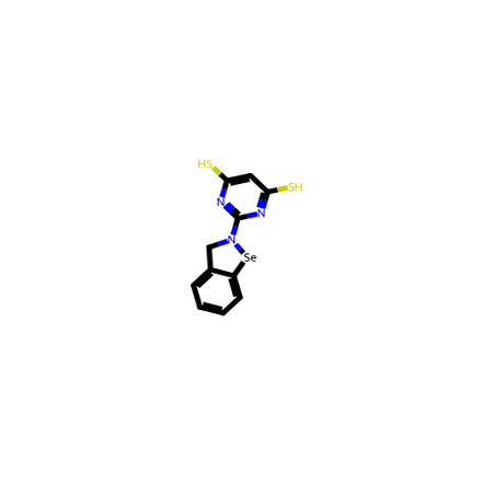 Sc1cc(S)nc(N2Cc3ccccc3[Se]2)n1